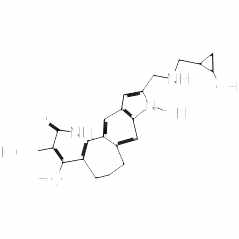 CC1CC1CNCc1cc2cc3c(cc2n1C)CCCc1c-3[nH]c(=O)c(C(=O)O)c1O